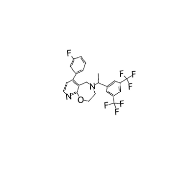 CC(c1cc(C(F)(F)F)cc(C(F)(F)F)c1)N1CCOc2nccc(-c3cccc(F)c3)c2C1